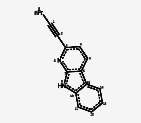 CCCC#Cc1ccc2c(n1)[nH]c1ccccc12